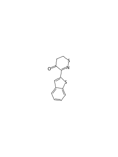 O=C1CCSN=C1c1cc2ccccc2s1